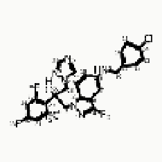 C[C@@H](n1nc(F)c2cc(NCc3ccc(Cl)cc3)ccc21)[C@](O)(Cn1cncn1)c1ccc(F)cc1F